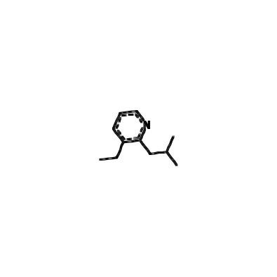 CCc1cccnc1CC(C)C